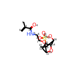 C=C(C)C(=O)NCCOC1(C)C2CC3C(O2)C1OS3(=O)=O